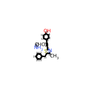 Cc1nc(C#Cc2ccc(O)cc2)sc1Cc1ccccc1.NC=O